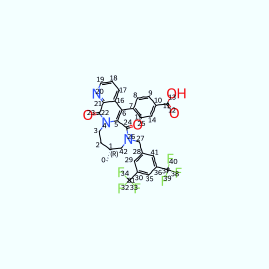 C[C@@H]1CCn2c(c(-c3ccc(C(=O)O)cc3)c3cccnc3c2=O)C(=O)N(Cc2cc(C(F)(F)F)cc(C(F)(F)F)c2)C1